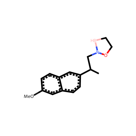 COc1ccc2cc(C(C)CN3BCCO3)ccc2c1